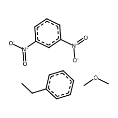 CCc1ccccc1.COC.O=[N+]([O-])c1cccc([N+](=O)[O-])c1